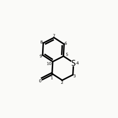 C=C1CCSc2ccccc21